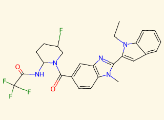 CCn1c(-c2nc3cc(C(=O)N4CC(F)CCC4NC(=O)C(F)(F)F)ccc3n2C)cc2ccccc21